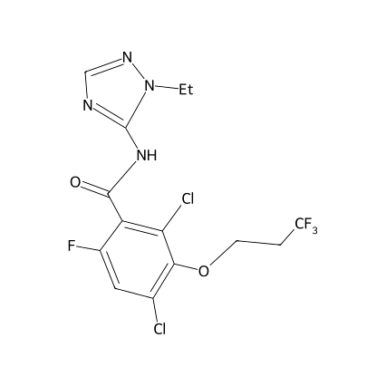 CCn1ncnc1NC(=O)c1c(F)cc(Cl)c(OCCC(F)(F)F)c1Cl